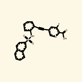 O=C(O)c1ncc(C#Cc2ccccc2NS(=O)(=O)c2ccc3ccccc3c2)cc1F